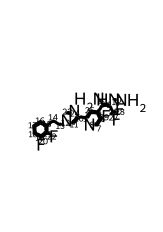 NN/C(=C(\N)c1ccnc(-c2cn(CCc3cccc(F)c3F)cn2)c1)C(F)(F)F